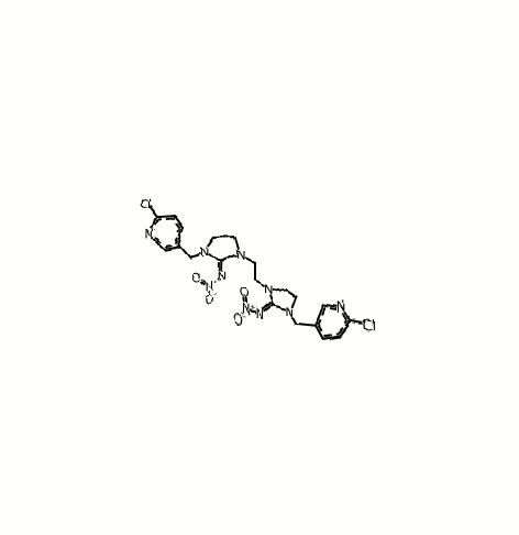 O=[N+]([O-])N=C1N(CCN2CCN(Cc3ccc(Cl)nc3)C2=N[N+](=O)[O-])CCN1Cc1ccc(Cl)nc1